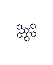 c1ccc(-c2nc(-c3ccccn3)c(-c3ccccn3)c(-c3ccccc3)c2-c2ccccc2)cc1